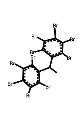 CC(c1c(Br)c(Br)c(Br)c(Br)c1Br)c1c(Br)c(Br)c(Br)c(Br)c1Br